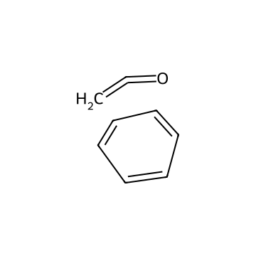 C=C=O.c1ccccc1